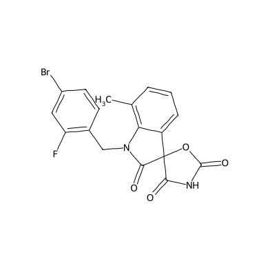 Cc1cccc2c1N(Cc1ccc(Br)cc1F)C(=O)C21OC(=O)NC1=O